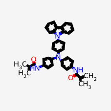 C=C(C)C(=O)Nc1ccc(N(c2ccc(NC(=O)C(=C)C)cc2)c2ccc(-n3c4ccccc4c4ccccc43)cc2)cc1